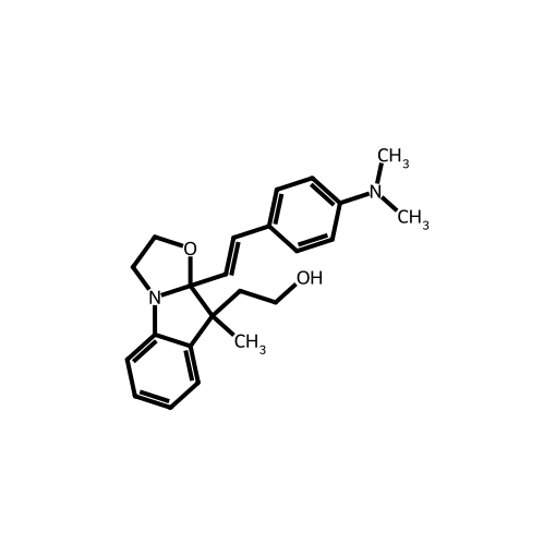 CN(C)c1ccc(C=CC23OCCN2c2ccccc2C3(C)CCO)cc1